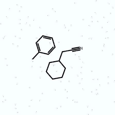 Cc1ccccc1.N#CCC1CCCCC1